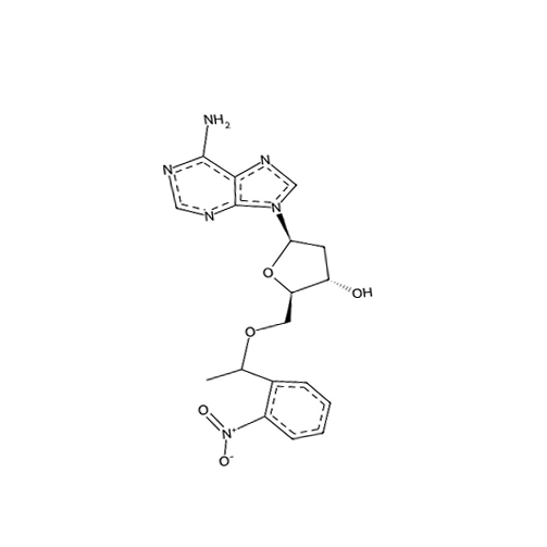 CC(OC[C@H]1O[C@@H](n2cnc3c(N)ncnc32)C[C@@H]1O)c1ccccc1[N+](=O)[O-]